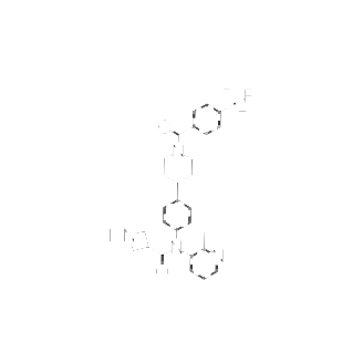 Cc1ncccc1N(C(=O)C1CNC1)c1ccc(C2CCN(C(=O)c3ccc(C(F)(F)F)cc3)CC2)cc1